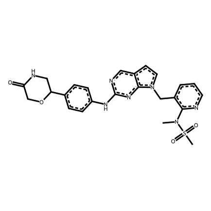 CN(c1ncccc1Cn1ccc2cnc(Nc3ccc(C4CNC(=O)CO4)cc3)nc21)S(C)(=O)=O